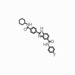 O=C(Nc1ccc(F)cc1)c1ccc2[nH]c(-c3ccc(C(=O)NC4CCCCC4)cc3)nc2c1